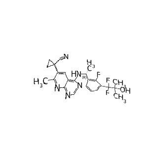 Cc1nc2ncnc(N[C@H](C)c3cccc(C(F)(F)C(C)(C)O)c3F)c2cc1C1(C#N)CC1